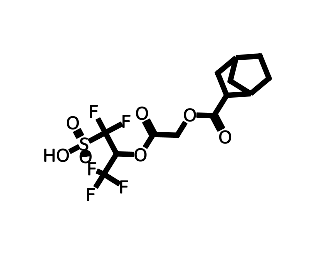 O=C(COC(=O)C1CC2CCC1C2)OC(C(F)(F)F)C(F)(F)S(=O)(=O)O